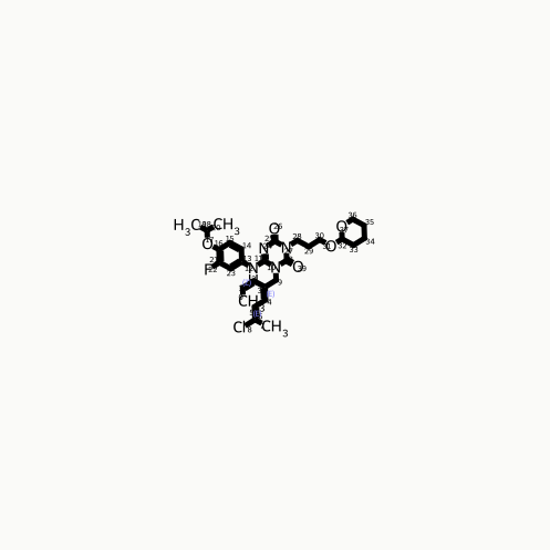 C\C=C/C(=C\C=C(/C)Cl)Cn1c(Nc2ccc(OC(C)C)c(F)c2)nc(=O)n(CCCOC2CCCCO2)c1=O